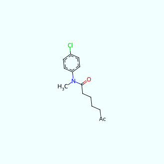 CC(=O)CCCCC(=O)N(C)c1ccc(Cl)cc1